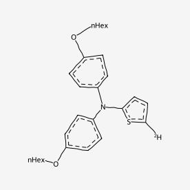 [2H]c1ccc(N(c2ccc(OCCCCCC)cc2)c2ccc(OCCCCCC)cc2)s1